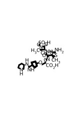 Cc1sc(N)nc1/C(=N/O[C@@H](COc1ccc(C(=N)N[C@H]2CCCNC2)cc1)C(=O)O)C(=O)N[C@@H]1C(=O)N(OS(=O)(=O)O)C1(C)C